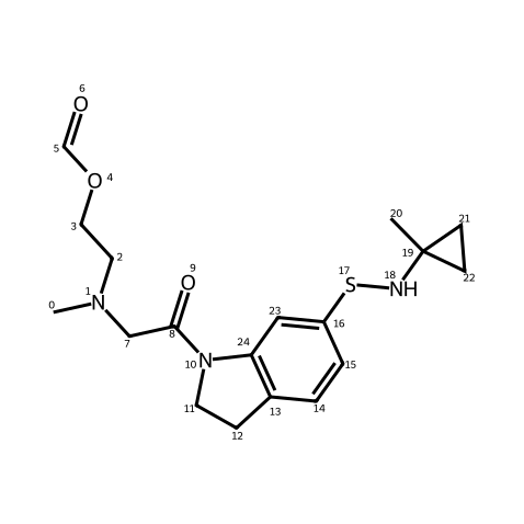 CN(CCOC=O)CC(=O)N1CCc2ccc(SNC3(C)CC3)cc21